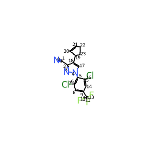 N#Cc1nn(-c2c(Cl)cc(C(F)(F)F)cc2Cl)cc1C1C=CCC1